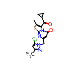 Cc1sc2nc(Cn3nc(C(F)(F)F)cc3Cl)cc(=O)n2c1C(=O)C1CC1